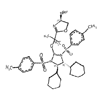 Cc1ccc(S(=O)(=O)N2[C@H](C3CCCCC3)[C@@H](C3CCCCC3)N(S(=O)(=O)c3ccc(C)cc3)P2OC(C)(C)C2=N[C@@H](C(C)(C)C)CO2)cc1